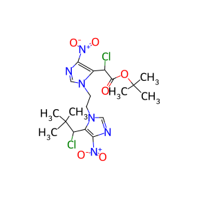 CC(C)(C)OC(=O)C(Cl)c1c([N+](=O)[O-])ncn1CCn1cnc([N+](=O)[O-])c1C(Cl)C(C)(C)C